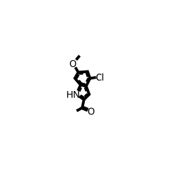 COc1cc(Cl)c2cc(C(C)=O)[nH]c2c1